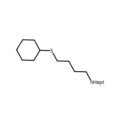 CCCCCCCCCCCSC1CCCCC1